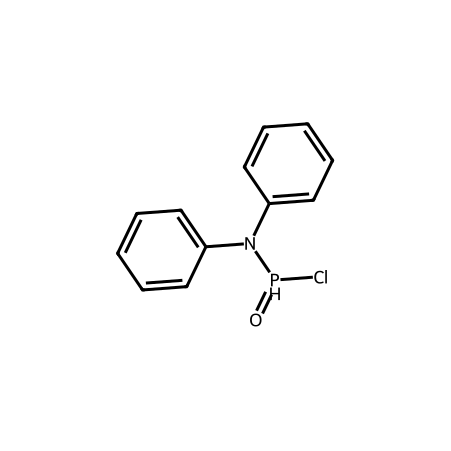 O=[PH](Cl)N(c1ccccc1)c1ccccc1